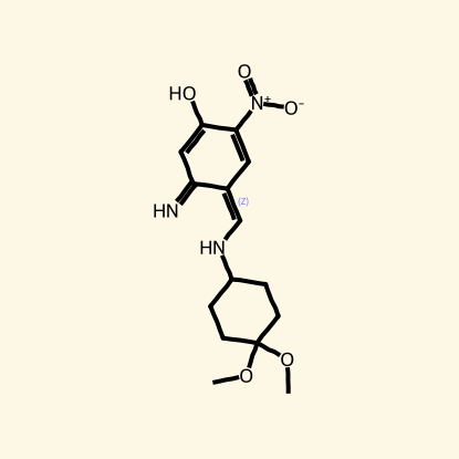 COC1(OC)CCC(N/C=C2/C=C([N+](=O)[O-])C(O)=CC2=N)CC1